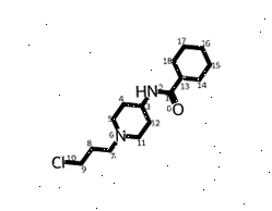 O=C(NC1CCN(CCCCl)CC1)C1CCCCC1